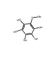 OOc1c(O)c(O)c(O)c(O)c1O